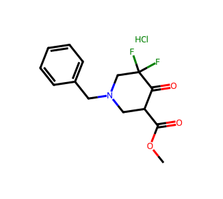 COC(=O)C1CN(Cc2ccccc2)CC(F)(F)C1=O.Cl